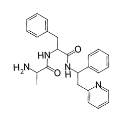 CC(N)C(=O)NC(Cc1ccccc1)C(=O)NC(Cc1ccccn1)c1ccccc1